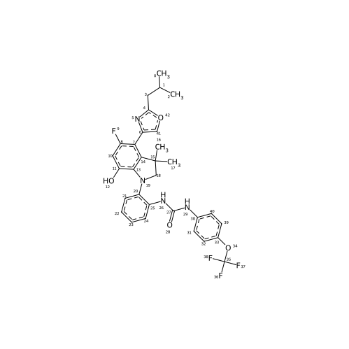 CC(C)Cc1nc(-c2c(F)cc(O)c3c2C(C)(C)CN3c2ccccc2NC(=O)Nc2ccc(OC(F)(F)F)cc2)co1